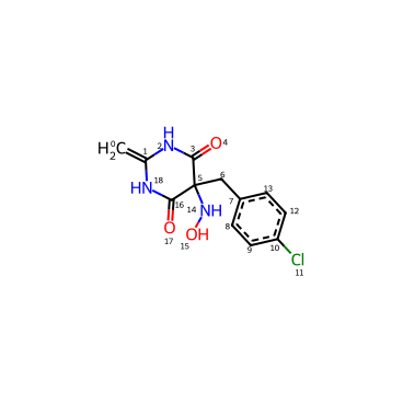 C=C1NC(=O)C(Cc2ccc(Cl)cc2)(NO)C(=O)N1